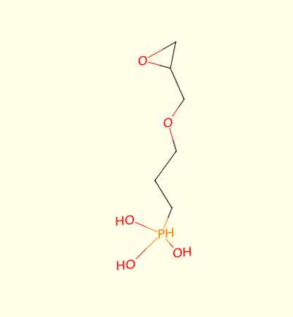 O[PH](O)(O)CCCOCC1CO1